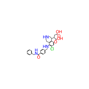 O=C(O)CC(C(=O)O)C1CNCCc2c1ccc(Cl)c2NCc1ccc(C(=O)NCc2ccccc2)cc1